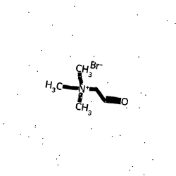 C[N+](C)(C)CC=O.[Br-]